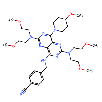 COCCN(CCOC)c1nc(N2CCC(OC)CC2)c2nc(N(CCOC)CCOC)nc(NCc3ccc(C#N)cc3)c2n1